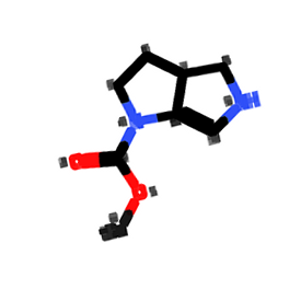 CC(C)(C)OC(=O)N1CCC2CNC=C21